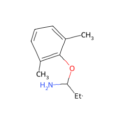 C[CH]C(N)Oc1c(C)cccc1C